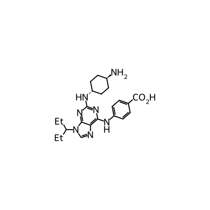 CCC(CC)n1cnc2c(Nc3ccc(C(=O)O)cc3)nc(N[C@H]3CC[C@H](N)CC3)nc21